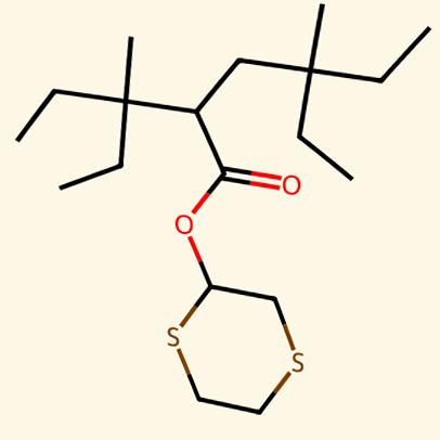 CCC(C)(CC)CC(C(=O)OC1CSCCS1)C(C)(CC)CC